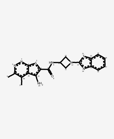 Cc1nnc2sc(C(=O)NC3CN(c4nc5ccccc5s4)C3)c(N)c2c1C